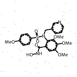 COc1ccc(S(=O)(=O)N(Cc2cccnc2)c2c(C(=O)NO)cc(OC)c(OC)c2OC)cc1